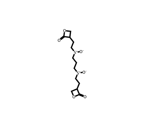 O=C1OCC1CC[S+]([O-])CCC[S+]([O-])CCC1COC1=O